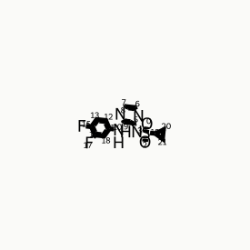 O=S(=O)(Nc1nccnc1Nc1ccc(F)c(F)c1)C1CC1